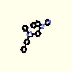 c1ccc(-c2ccc(-c3cc(-c4cccc(-c5nn(-c6ccncc6)c6ccc7ccccc7c56)c4)nc(-c4ccccc4)n3)cc2)cc1